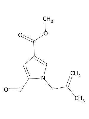 C=C(C)Cn1cc(C(=O)OC)cc1C=O